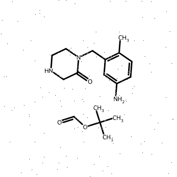 CC(C)(C)OC=O.Cc1ccc(N)cc1CN1CCNCC1=O